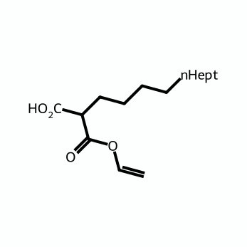 C=COC(=O)C(CCCCCCCCCCC)C(=O)O